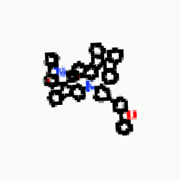 c1ccc2c(c1)-c1ccccc1C21c2ccccc2-c2c1cc(N(c1ccc(-c3ccc4oc5ccccc5c4c3)cc1)c1ccc3c(c1)C1(c4ccccc4-3)c3ccccc3-n3c4ccccc4c4cccc1c43)c1ccccc21